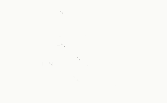 N#Cc1c[nH]c2c(NS(=O)(=O)C=Cc3ccccc3)cccc12.NS(=O)(=O)c1ccccc1